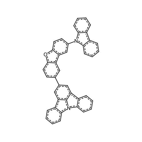 c1ccc2c(c1)c1ccccc1n2-c1ccc2oc3ccc(-c4cc5c6ccccc6n6c7ccccc7c(c4)c56)cc3c2c1